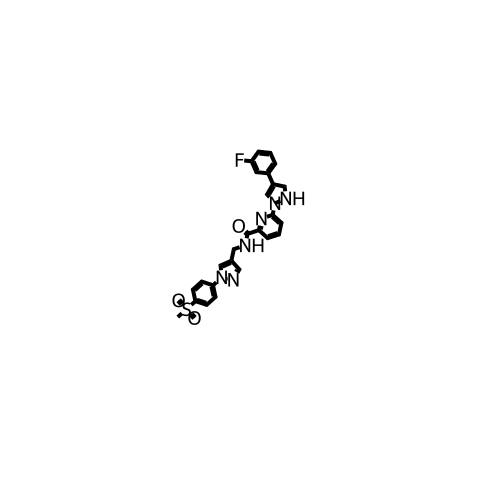 CS(=O)(=O)c1ccc(-n2cc(CNC(=O)c3cccc(N4C=C(c5cccc(F)c5)CN4)n3)cn2)cc1